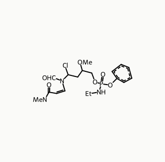 CCNP(=O)(OCC(CC(Cl)N(C=O)/C=C\C(=O)NC)OC)Oc1ccccc1